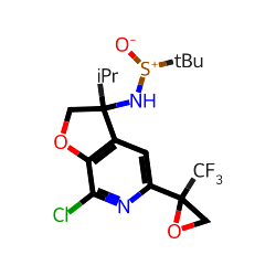 CC(C)C1(N[S+]([O-])C(C)(C)C)COc2c1cc(C1(C(F)(F)F)CO1)nc2Cl